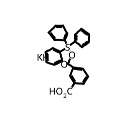 O=C(O)c1cccc(C(=O)OS(c2ccccc2)(c2ccccc2)c2ccccc2)c1.[KH]